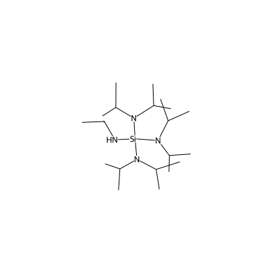 CCN[Si](N(C(C)C)C(C)C)(N(C(C)C)C(C)C)N(C(C)C)C(C)C